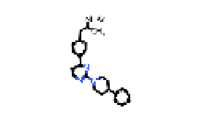 CC(=O)NC(C)Cc1ccc(-c2ccnc(N3CCC(c4ccccc4)CC3)n2)cc1